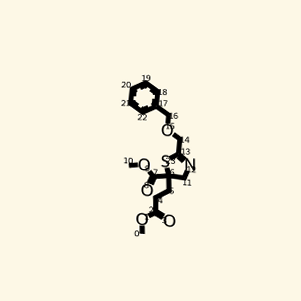 COC(=O)CCC1(C(=O)OC)CN=C(COCc2ccccc2)S1